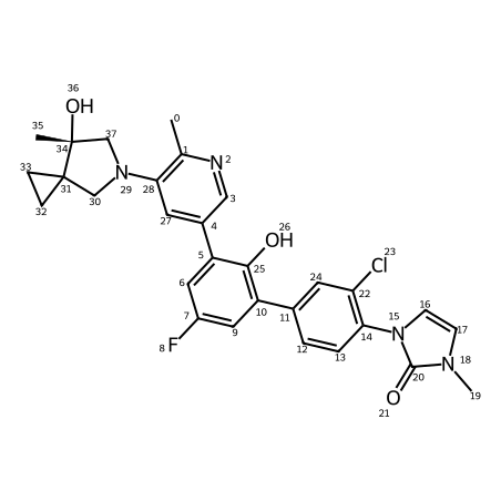 Cc1ncc(-c2cc(F)cc(-c3ccc(-n4ccn(C)c4=O)c(Cl)c3)c2O)cc1N1CC2(CC2)[C@](C)(O)C1